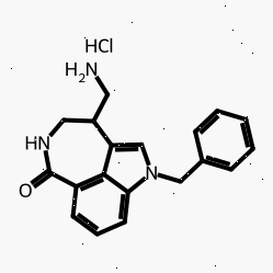 Cl.NCC1CNC(=O)c2cccc3c2c1cn3Cc1ccccc1